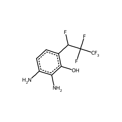 Nc1ccc(C(F)C(F)(F)C(F)(F)F)c(O)c1N